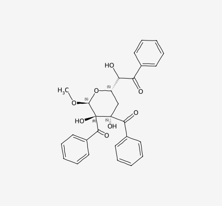 CO[C@H]1O[C@H](C(O)C(=O)c2ccccc2)C[C@@](O)(C(=O)c2ccccc2)[C@]1(O)C(=O)c1ccccc1